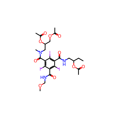 CCC(CNC(=O)c1c(I)c(C(=O)NCOC)c(I)c(C(=O)N(C)CC(COC(C)=O)OC(C)=O)c1I)OC(C)=O